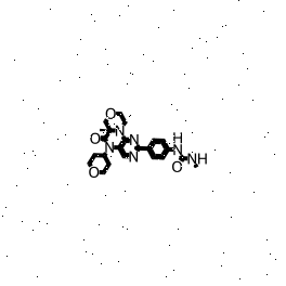 CNC(=O)Nc1ccc(-c2ncc3c(n2)N2CCOC[C@@]2(C)C(=O)N3C2CCOCC2)cc1